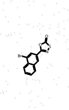 O=c1oc(-c2cc(Br)c3ccccc3c2)ns1